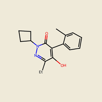 CCc1nn(C2CCC2)c(=O)c(-c2ccccc2C)c1O